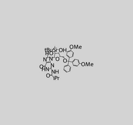 COc1ccc(C(OC[C@H]2O[C@@H](n3c(C)nc4c(=O)[nH]c(NC(=O)C(C)C)nc43)[C@@](O)([Si](C)(C)C(C)(C)C)[C@@H]2O)(c2ccccc2)c2ccc(OC)cc2)cc1